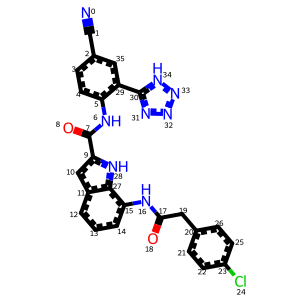 N#Cc1ccc(NC(=O)c2cc3cccc(NC(=O)Cc4ccc(Cl)cc4)c3[nH]2)c(-c2nnn[nH]2)c1